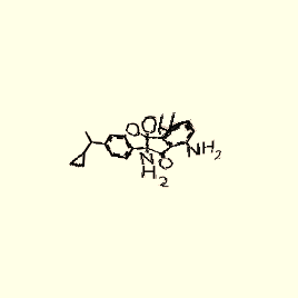 CC(c1ccc2c(c1)O[C@]1(O)c3cccc(N)c3C(=O)[C@]21N)C1CC1